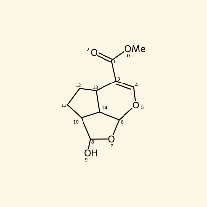 COC(=O)C1=COC2OC(O)C3CCC1C23